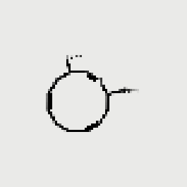 CCCC(C)C1CC=CCCC=CCC(C(C)CCC)N=N1